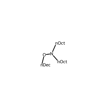 CCCCCCCCCCON(CCCCCCCC)CCCCCCCC